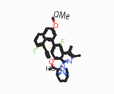 C#Cc1c(F)ccc2cc(OCOC)cc(-c3cc4c5c(nc(C)c(C)c5c3F)N3CC5CCC(C3C(C)O4)N5C(=O)O)c12